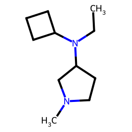 CCN(C1CCC1)C1CCN(C)C1